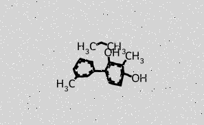 CCC.Cc1cccc(-c2ccc(O)c(C)c2O)c1